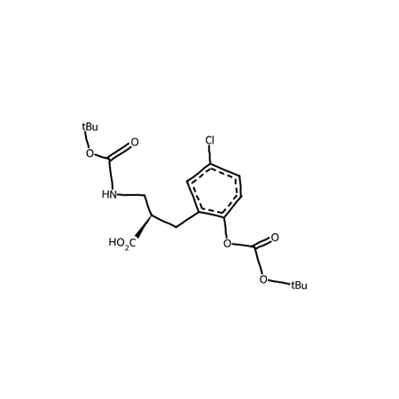 CC(C)(C)OC(=O)NC[C@@H](Cc1cc(Cl)ccc1OC(=O)OC(C)(C)C)C(=O)O